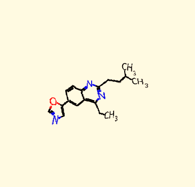 CCc1nc(CCC(C)C)nc2ccc(-c3cnco3)cc12